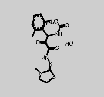 Cc1cccc(C)c1C(NC(=O)OCC(C)C)C(=O)C(=O)NN=C1SCCN1C.Cl